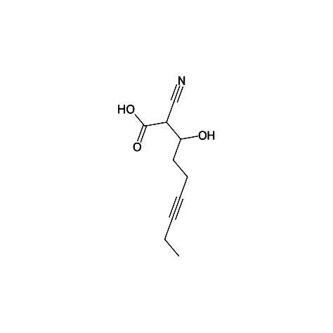 CCC#CCCC(O)C(C#N)C(=O)O